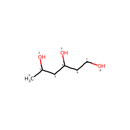 CC(O)CC(O)C[CH]O